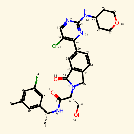 Cc1cc(F)cc([C@@H](C)NC(=O)[C@@H](CO)N2Cc3ccc(-c4nc(NC5CCOCC5)ncc4Cl)cc3C2=O)c1